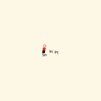 [In].[O]=[Sn].[Pt]